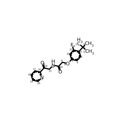 CC(C)(C)c1ccc(OCC(=O)NCC(=O)c2ccccn2)cc1F